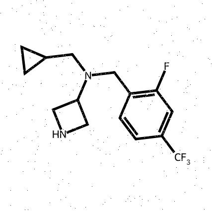 Fc1cc(C(F)(F)F)ccc1CN(CC1CC1)C1CNC1